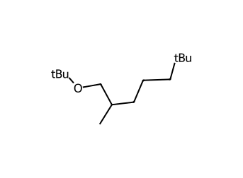 CC(CCCC(C)(C)C)COC(C)(C)C